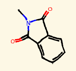 CN1C(=O)c2c[c]ccc2C1=O